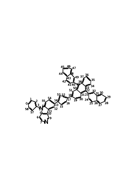 c1ccc(-n2c3ccncc3c3cc(-c4ccc(-c5ccc6c(-c7ccc8ccccc8c7)c7ccccc7c(-c7ccc8ccccc8c7)c6c5)cc4)ccc32)cc1